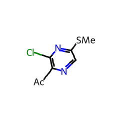 CSc1cnc(C(C)=O)c(Cl)n1